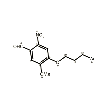 COc1cc(C=O)c([N+](=O)[O-])cc1OCCCC(C)=O